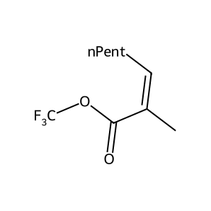 CCCCCC=C(C)C(=O)OC(F)(F)F